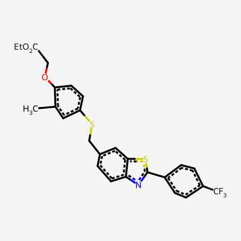 CCOC(=O)COc1ccc(SCc2ccc3nc(-c4ccc(C(F)(F)F)cc4)sc3c2)cc1C